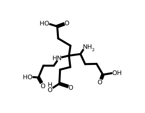 NC(CCC(=O)O)C(CCC(=O)O)(CCC(=O)O)NCCC(=O)O